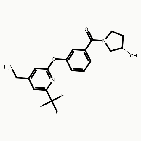 NCc1cc(Oc2cccc(C(=O)N3CC[C@H](O)C3)c2)nc(C(F)(F)F)c1